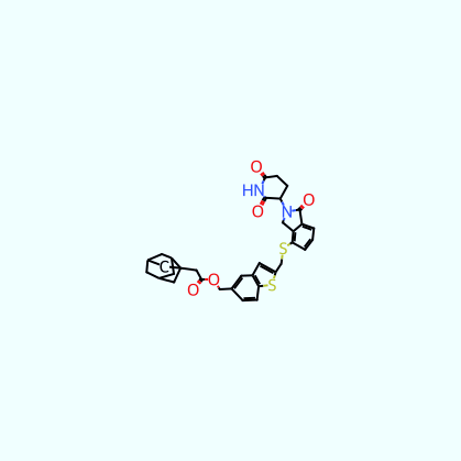 O=C1CCC(N2Cc3c(SCc4cc5cc(COC(=O)CC67CC8CC(CC6C8)C7)ccc5s4)cccc3C2=O)C(=O)N1